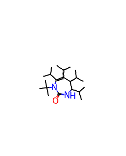 CC(C)C1=C(C(C)C)N(C(C)(C)C)C(=O)NC(C(C)C)C1C(C)C